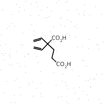 C=CC(C=C)(CCC(=O)O)C(=O)O